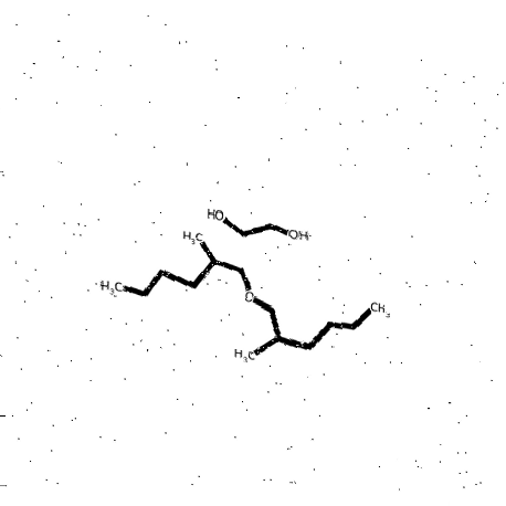 CCCCC(C)COCC(C)CCCC.OCCO